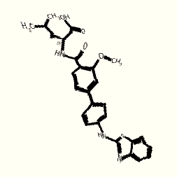 COc1cc(-c2ccc(Nc3nc4ccccc4s3)cc2)ccc1C(=O)N[C@@H](CC(C)C)C(=O)O